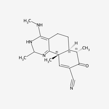 CNC1=C2CC[C@H]3[C@H](C)C(=O)C(C#N)=C[C@]3(C)C2=NC(C)N1